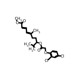 C=C(C)C(CC/C(C)=C/C=C/C(=O)OC)OC(=O)COc1ccc(Cl)cc1Cl